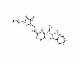 CCOC(=O)c1cc(CNc2nccc(/C(C#N)=C3\Nc4ccccc4O3)n2)c(C)o1